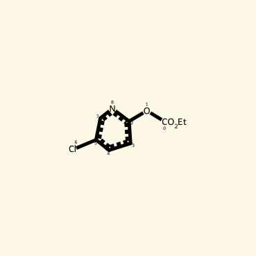 CCOC(=O)Oc1c[c]c(Cl)cn1